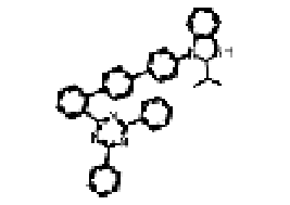 CC(C)C1Nc2ccccc2N1c1ccc(-c2ccc(-c3ccccc3-c3nc(-c4ccccc4)nc(-c4ccccc4)n3)cc2)cc1